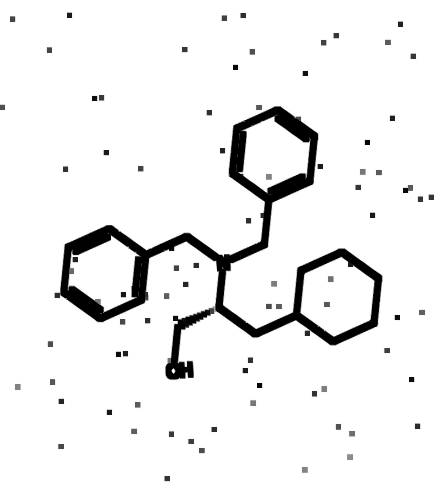 OC[C@@H](CC1CCCCC1)N(Cc1ccccc1)Cc1ccccc1